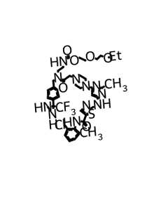 CCOCCOCCOC(=O)NCCN(Cc1ccc(C2(C(F)(F)F)NN2)cc1)C(=O)CN1CCN(c2cc(Nc3ncc(C(=O)Nc4c(C)cccc4Cl)s3)nc(C)n2)CC1